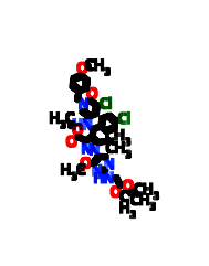 CCOC(=O)c1nn(-c2cnc(NCC(=O)OC(C)(C)C)nc2OC)c(C(C)C)c1C(Nc1cc(Cl)c(=O)n(Cc2ccc(OC)cc2)c1)c1ccc(Cl)cc1